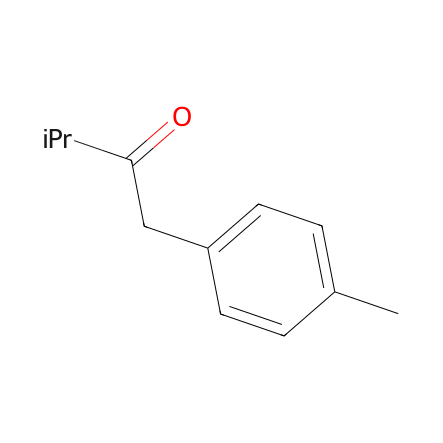 Cc1ccc(CC(=O)C(C)C)cc1